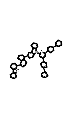 c1ccc(-c2ccc(-c3cc(-c4ccc(-c5ccccc5)cc4)nc(-n4c5ccccc5c5cc(-c6cccc7c(-c8cccc9c8oc8ccccc89)cccc67)ccc54)c3)cc2)cc1